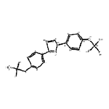 CC(C)(N)Cc1ccc(-c2ncn(-c3ccc(OC(F)(F)F)cc3)n2)cc1